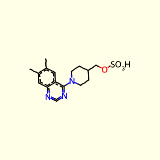 Cc1cc2ncnc(N3CCC(COS(=O)(=O)O)CC3)c2cc1C